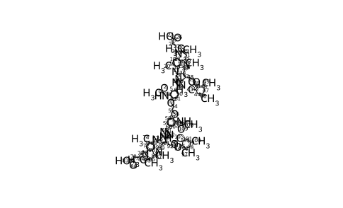 CC(=O)Nc1cc(-c2nc3n(n2)/C(=N/c2cc4c(cc2C)N(CCCC(=O)O)C(C)(C)CC4C)C(C#N)=C3COOC2C(C)CC(C)CC2C)ccc1OCCOc1ccc(-c2nc3n(n2)/C(=N/c2cc4c(cc2C)N(CCCC(=O)O)C(C)(C)CC4C)C(C#N)=C3COOC2C(C)CC(C)CC2C)cc1NC(C)=O